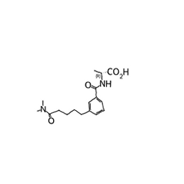 C[C@@H](NC(=O)c1cccc(CCCCC(=O)N(C)C)c1)C(=O)O